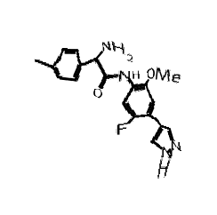 COc1cc(-c2cn[nH]c2)c(F)cc1NC(=O)C(N)c1ccc(C)cc1